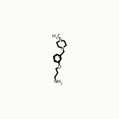 CN1CCN(Cc2cccc(OCCCN)c2)CC1